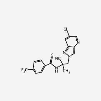 CC(C#N)(Cn1cc2ncc(Cl)cc2n1)NC(=S)c1ccc(C(F)(F)F)cc1